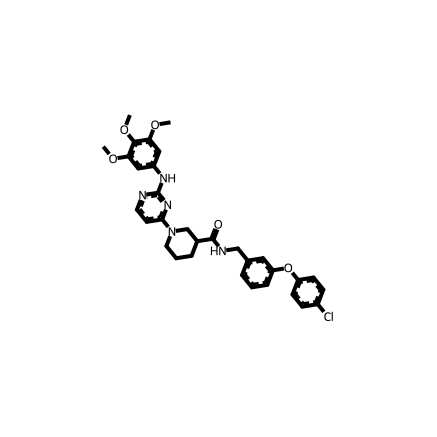 COc1cc(Nc2nccc(N3CCCC(C(=O)NCc4cccc(Oc5ccc(Cl)cc5)c4)C3)n2)cc(OC)c1OC